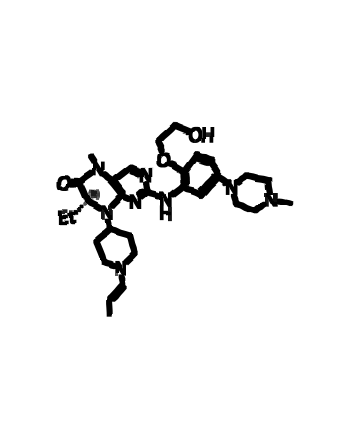 CC=CN1CCC(N2c3nc(Nc4cc(N5CCN(C)CC5)ccc4OCCO)ncc3N(C)C(=O)[C@H]2CC)CC1